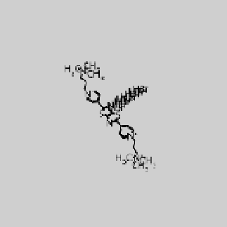 Br.Br.Br.Br.Br.Br.Br.Br.C[N+](C)(C)CCC[n+]1ccc(-c2nc3sc(-c4cc[n+](CCC[N+](C)(C)C)cc4)nc3s2)cc1